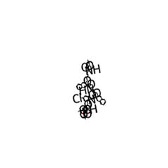 CC(C)(C)OC(=O)NCCCOc1cc2ccccc2cc1C(=O)NCCOc1cc2ccccc2cc1C(=O)Nc1ccc(Cl)cc1OCOP(=O)(OC(C)(C)C)OC(C)(C)C